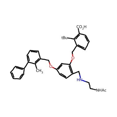 CC(=O)NCCNCc1ccc(OCc2cccc(-c3ccccc3)c2C)cc1OCc1cccc(C(=O)O)c1C(C)(C)C